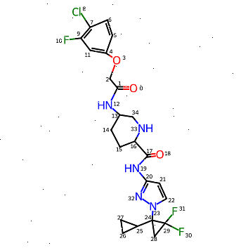 O=C(COc1ccc(Cl)c(F)c1)NC1CCC(C(=O)Nc2ccn(C3(C4CC4)CC3(F)F)n2)NC1